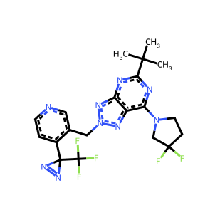 CC(C)(C)c1nc(N2CCC(F)(F)C2)c2nn(Cc3cnccc3C3(C(F)(F)F)N=N3)nc2n1